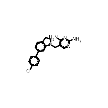 Nc1ncc(CN2CCc3ccc(-c4ccc(Cl)cc4)cc32)c(N)n1